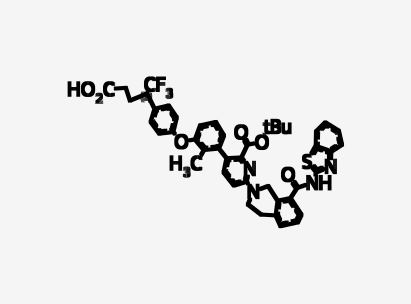 Cc1c(Oc2ccc([C@H](CCC(=O)O)C(F)(F)F)cc2)cccc1-c1ccc(N2CCc3cccc(C(=O)Nc4nc5ccccc5s4)c3C2)nc1C(=O)OC(C)(C)C